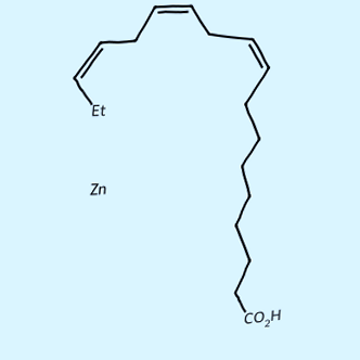 CC/C=C\C/C=C\C/C=C\CCCCCCCC(=O)O.[Zn]